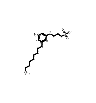 CCCCCCCCCc1cccc(OCCCS(=O)(=O)[O-])c1.[Na+]